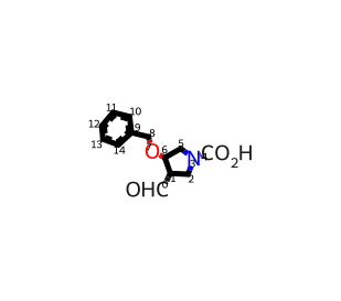 O=CC1CN(C(=O)O)CC1OCc1ccccc1